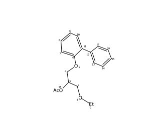 CCOCC(COc1ccccc1-c1ccccc1)OC(C)=O